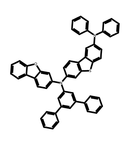 c1ccc(-c2cc(-c3ccccc3)cc(N(c3ccc4c(c3)oc3ccccc34)c3ccc4c(c3)sc3ccc(N(c5ccccc5)c5ccccc5)cc34)c2)cc1